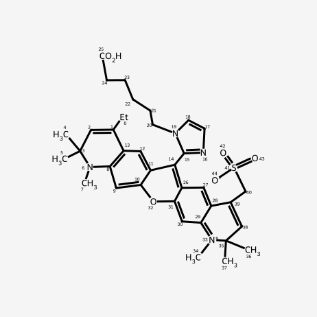 CCC1=CC(C)(C)N(C)c2cc3c(cc21)C(c1nccn1CCCCCC(=O)O)=c1cc2c(cc1O3)=[N+](C)C(C)(C)C=C2CS(=O)(=O)[O-]